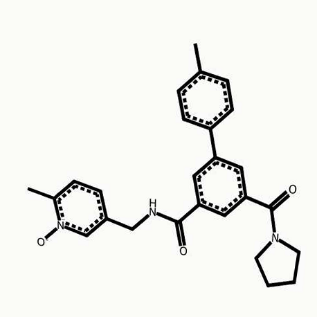 Cc1ccc(-c2cc(C(=O)NCc3ccc(C)[n+]([O-])c3)cc(C(=O)N3CCCC3)c2)cc1